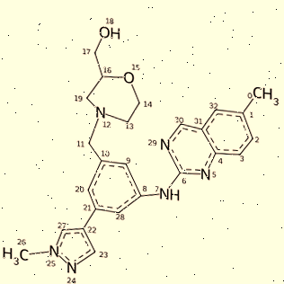 Cc1ccc2nc(Nc3cc(CN4CCOC(CO)C4)cc(-c4cnn(C)c4)c3)ncc2c1